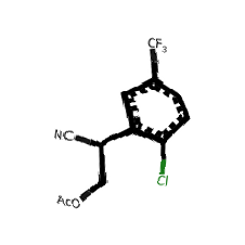 CC(=O)OCC(C#N)c1cc(C(F)(F)F)ccc1Cl